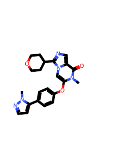 Cn1nccc1-c1ccc(Oc2cn3c(C4CCOCC4)ncc3c(=O)n2C)cc1